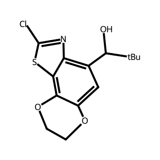 CC(C)(C)C(O)c1cc2c(c3sc(Cl)nc13)OCCO2